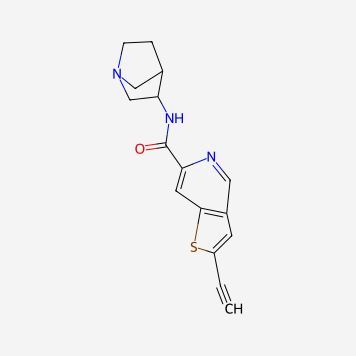 C#Cc1cc2cnc(C(=O)NC3CN4CCC3C4)cc2s1